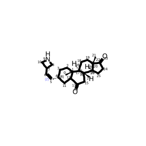 C[C@]12CC[C@@H](/C=C\C3CNC3)CC1C(=O)C[C@@H]1[C@@H]2CC[C@]2(C)C(=O)CC[C@@H]12